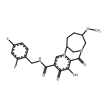 COC1CCC2CN(C1)C(=O)c1c(O)c(=O)c(C(=O)NCc3ccc(F)cc3F)cn12